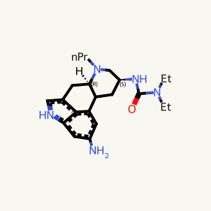 CCCN1C[C@@H](NC(=O)N(CC)CC)CC2c3cc(N)cc4[nH]cc(c34)C[C@H]21